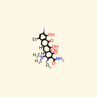 CCc1cc(I)c(O)c2c1C[C@H]1C[C@H]3C(N(C)C)C(C)=C(C(N)=O)C(=O)[C@@]3(O)C(O)=C1C2=O